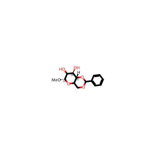 CO[C@H]1OC2COC(c3ccccc3)O[C@H]2[C@H](O)C1O